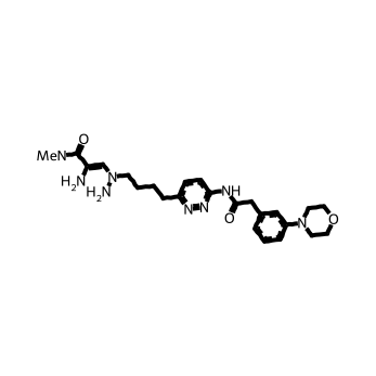 CNC(=O)/C(N)=C/N(N)CCCCc1ccc(NC(=O)Cc2cccc(N3CCOCC3)c2)nn1